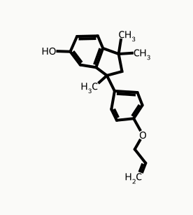 C=CCOc1ccc(C2(C)CC(C)(C)c3ccc(O)cc32)cc1